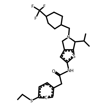 CCSc1ccc(CC(=O)Nc2cc3c(s2)C(C(C)C)N(CC2CCC(C(F)(F)F)CC2)C3)cc1